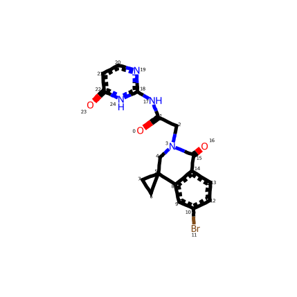 O=C(CN1CC2(CC2)c2cc(Br)ccc2C1=O)Nc1nccc(=O)[nH]1